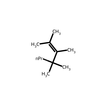 CCCC(C)(C)C(C)=C(C)C